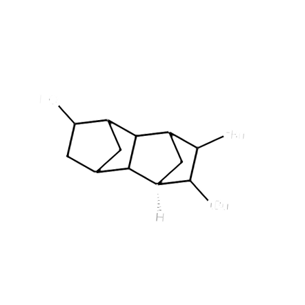 CC(C)(C)C1C2C[C@H](C3C4CC(O)C(C4)C23)C1C(C)(C)C